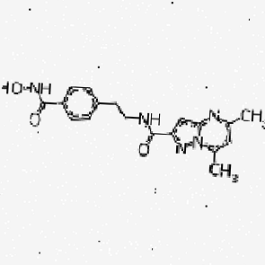 Cc1cc(C)n2nc(C(=O)NCCc3ccc(C(=O)NO)cc3)cc2n1